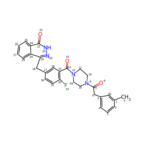 Cc1cccc(CC(=O)N2CCN(C(=O)c3cc(Cc4n[nH]c(=O)c5ccccc45)ccc3F)CC2)c1